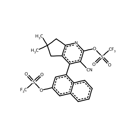 CC1(C)Cc2nc(OS(=O)(=O)C(F)(F)F)c(C#N)c(-c3cc(OS(=O)(=O)C(F)(F)F)cc4ccccc34)c2C1